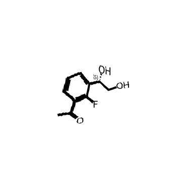 CC(=O)c1cccc([C@H](O)CO)c1F